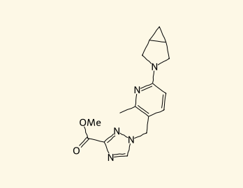 COC(=O)c1ncn(Cc2ccc(N3CC4CC4C3)nc2C)n1